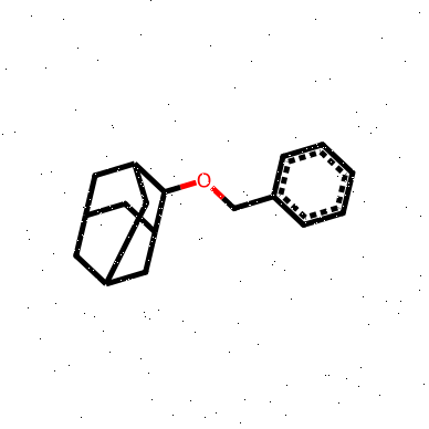 c1ccc(COC2C3CC4CC(C3)CC2C4)cc1